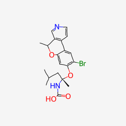 CC(C)C[C@@](C)(NC(=O)O)Oc1cc2c(cc1Br)-c1ccncc1C(C)O2